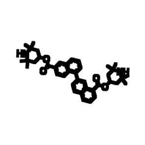 CC1(C)CC(OC(=O)c2ccc3c(-c4ccc5cccc(C(=O)OC6CC(C)(C)NC(C)(C)C6)c5c4)cccc3c2)CC(C)(C)N1